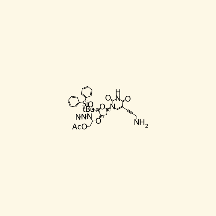 CC(=O)OCC(N=[N+]=[N-])O[C@@H]1C[C@H](n2cc(C#CCN)c(=O)[nH]c2=O)O[C@@H]1CO[Si](c1ccccc1)(c1ccccc1)C(C)(C)C